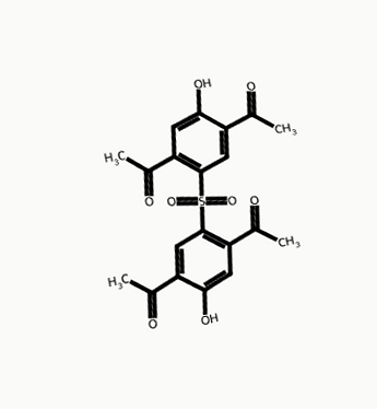 CC(=O)c1cc(S(=O)(=O)c2cc(C(C)=O)c(O)cc2C(C)=O)c(C(C)=O)cc1O